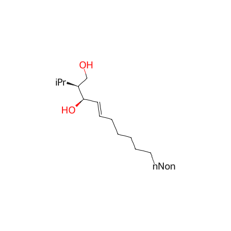 CCCCCCCCCCCCCC/C=C/[C@@H](O)[C@H](CO)C(C)C